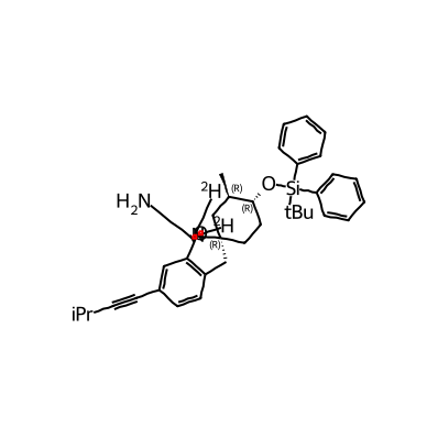 [2H]C1([2H])OC(N)=NC12c1cc(C#CC(C)C)ccc1C[C@]21CC[C@@H](O[Si](c2ccccc2)(c2ccccc2)C(C)(C)C)[C@H](C)C1